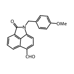 COc1ccc(CN2C(=O)c3cccc4c(C=O)ccc2c34)cc1